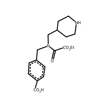 CCOC(=O)C(=O)N(Cc1ccc(C(=O)O)cc1)CC1CCNCC1